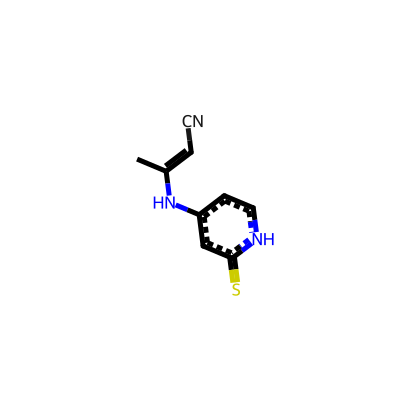 CC(=CC#N)Nc1cc[nH]c(=S)c1